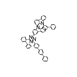 c1ccc(-c2ccc(-c3ccc(-c4nc(-c5ccc6c(c5)c5ccccc5n6-c5cccc6c7ccccc7n(-c7cccc(-c8ccccc8)c7)c56)nc(-c5ccccc5-c5ccccc5)n4)cc3)cc2)cc1